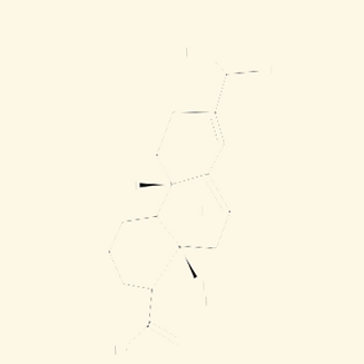 CC(C)C1=CC2=CC[C@H]3[C@@](C)(CCC[C@]3(C)C(=O)O)[C@@H]2CC1